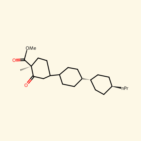 CCC[C@H]1CC[C@H](C2CCC(C3CC[C@](C)(C(=O)OC)C(=O)C3)CC2)CC1